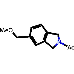 COCc1ccc2c(c1)CN(C(C)=O)C2